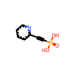 O=P(O)(O)C#Cc1ccccn1